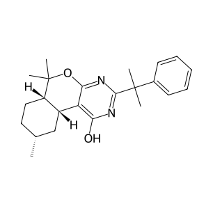 C[C@@H]1CC[C@H]2[C@@H](C1)c1c(O)nc(C(C)(C)c3ccccc3)nc1OC2(C)C